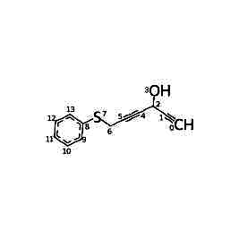 C#CC(O)C#CCSc1ccccc1